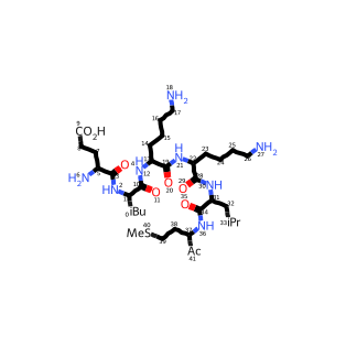 CCC(C)C(NC(=O)C(N)CCC(=O)O)C(=O)NC(CCCCN)C(=O)NC(CCCCN)C(=O)NC(CC(C)C)C(=O)NC(CCSC)C(C)=O